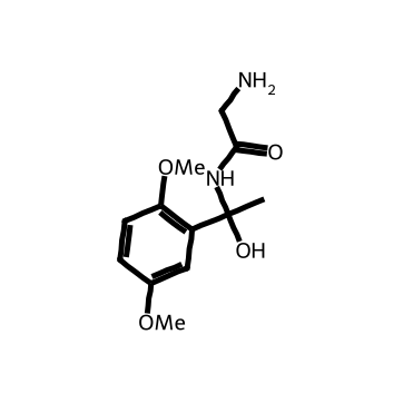 COc1ccc(OC)c(C(C)(O)NC(=O)CN)c1